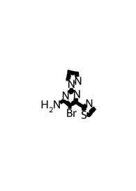 Nc1nc(-n2cccn2)nc(-c2nccs2)c1Br